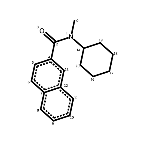 CN(C(=O)c1ccc2ccccc2c1)C1CCCCC1